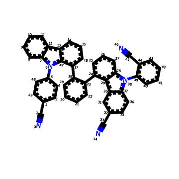 N#Cc1ccc(-n2c3ccccc3c3cccc(-c4ccccc4-c4cccc5c4c4cc(C#N)ccc4n5-c4ccccc4C#N)c32)cc1